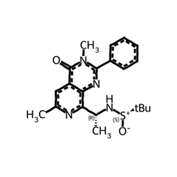 Cc1cc2c(=O)n(C)c(-c3ccccc3)nc2c([C@@H](C)N[S@+]([O-])C(C)(C)C)n1